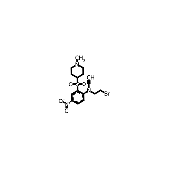 C#CN(CCBr)c1ccc([N+](=O)[O-])cc1S(=O)(=O)C1CCN(C)CC1